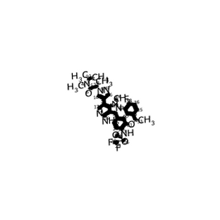 CC(C)N(C)C(=O)C(C)n1cc(-c2cnc(N)c3c(-c4ccc(NS(=O)(=O)C(F)F)c(O[C@@H](C)c5ccc(F)cc5)c4)nn(C)c23)cn1